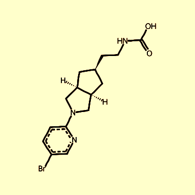 O=C(O)NCC[C@@H]1C[C@@H]2CN(c3ccc(Br)cn3)C[C@@H]2C1